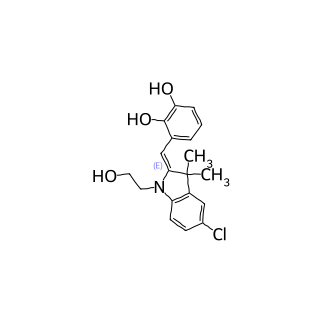 CC1(C)/C(=C\c2cccc(O)c2O)N(CCO)c2ccc(Cl)cc21